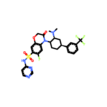 CN(C)[C@H]1C[C@@H](c2cccc(C(F)(F)F)c2)CCC1N1C(=O)COc2cc(S(=O)(=O)Nc3ccncn3)c(F)cc21